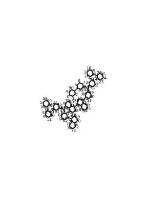 c1ccc(-c2cccc(N(c3cccc(-c4ccccc4-c4ccccc4)c3)c3cccc(-c4ccc(-c5cccc6c(N(c7cccc(-c8ccccc8-c8ccccc8)c7)c7cccc(-c8cccc9ccccc89)c7)cccc56)c5ccccc45)c3)c2)cc1